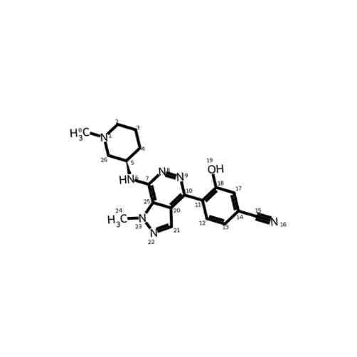 CN1CCC[C@@H](Nc2nnc(-c3ccc(C#N)cc3O)c3cnn(C)c23)C1